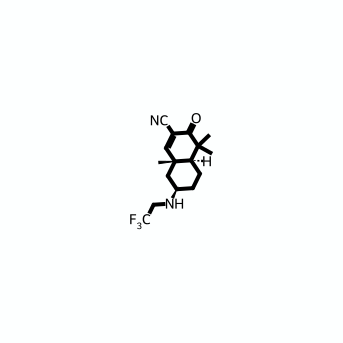 CC1(C)C(=O)C(C#N)=C[C@@]2(C)C[C@H](NCC(F)(F)F)CC[C@H]12